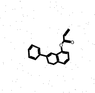 C=CC(=O)Oc1cccc2c1C=C(c1ccccc1)CC2